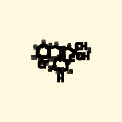 CC(C)(O)CN(Cc1cccc(C(F)(F)F)c1)C1CCNCC1